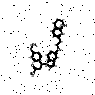 COc1ccc(C(CC(=O)O)n2ncc3cc(OCCc4ccc5c(n4)NCCC5)ccc32)cn1